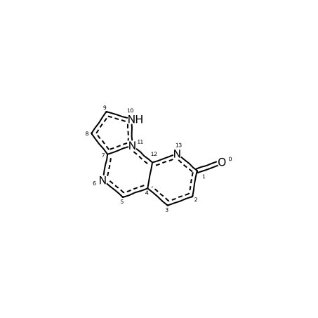 O=c1ccc2cnc3cc[nH]n3c-2n1